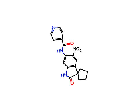 O=C(Nc1cc2c(cc1[N+](=O)[O-])C1(CCCC1)C(=O)N2)c1ccncc1